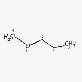 [CH2]CCO[SiH3]